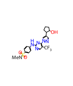 CNS(=O)(=O)c1ccc(Nc2ncc(C(F)(F)F)c(-n3cc(C4CCCC4O)cn3)n2)cc1